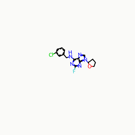 Fc1nc(NCc2cccc(Cl)c2)c2ncn(C3CCCO3)c2n1